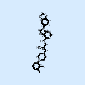 Cc1cccc(N2CCN(CC(O)CNc3ncnc4c3ncn4-c3ccc4c(c3)OCO4)CC2)c1C